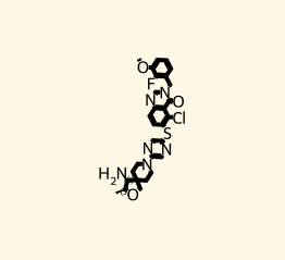 COc1cccc(Cn2cnc3ccc(Sc4cnc(N5CCC6(CC5)CO[C@@H](C)[C@H]6N)cn4)c(Cl)c3c2=O)c1F